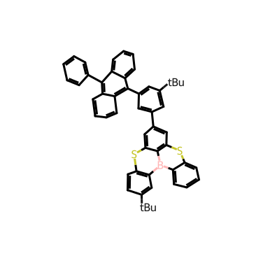 CC(C)(C)c1cc(-c2cc3c4c(c2)Sc2ccc(C(C)(C)C)cc2B4c2ccccc2S3)cc(-c2c3ccccc3c(-c3ccccc3)c3ccccc23)c1